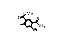 COC(=O)c1cc(C(N)=S)c(C(C)C)cc1C